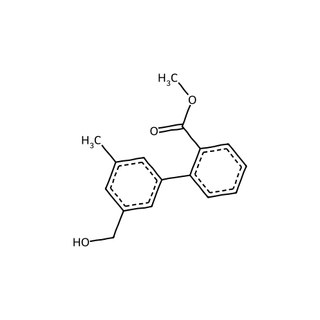 COC(=O)c1ccccc1-c1cc(C)cc(CO)c1